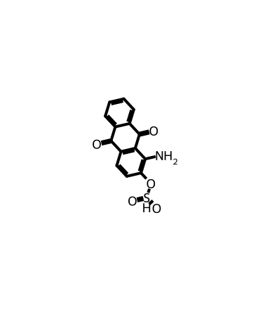 Nc1c(O[SH](=O)=O)ccc2c1C(=O)c1ccccc1C2=O